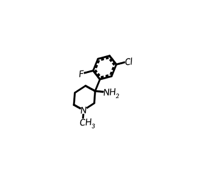 CN1CCCC(N)(c2cc(Cl)ccc2F)C1